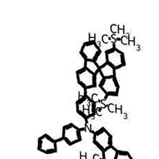 CC1(C)c2ccccc2-c2ccc(N(c3ccc(-c4ccccc4)cc3)c3ccc(-c4ccc5c(c4)C4(c6ccccc6-5)c5cc(S(C)(C)C)ccc5-c5ccc(S(C)(C)C)cc54)cc3)cc21